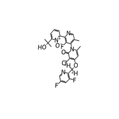 [2H]C([2H])(Oc1cc(C)n(-c2c(C)cnc(-c3cccc(C(C)(C)O)[n+]3[O-])c2F)c(=O)c1Cl)c1ncc(F)cc1F